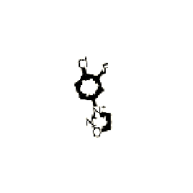 Fc1cc(-[n+]2ccon2)ccc1Cl